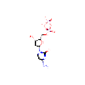 Nc1ccn([C@H]2C[C@@H](O)[C@@H](COP(=O)(O)OP(=O)(O)O)O2)c(=O)n1